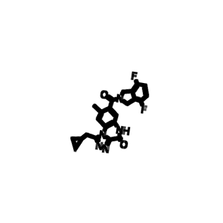 Cc1cc2c(cc1C(=O)N1Cc3c(F)ccc(F)c3C1)[nH]c(=O)c1nnc(CC3CC3)n12